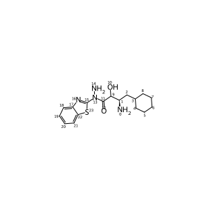 N[C@H](CC1CCCCC1)C(O)C(=O)N(N)c1nc2ccccc2s1